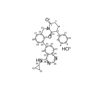 Cl.O=C1CCC(c2ccccc2)C(=O)N1Cc1cccc(-c2ccc3ncnc(NC4CC4)c3c2)c1